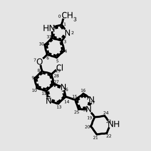 Cc1nc2ccc(Oc3ccc4ncc(-c5cnn(C6CCCNC6)c5)nc4c3Cl)cc2[nH]1